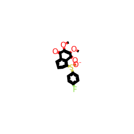 COC1=C(OC)C(=O)c2c(cccc2[S+]([O-])c2ccc(F)cc2)C1=O